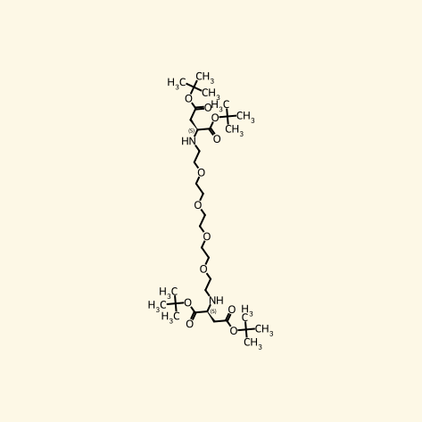 CC(C)(C)OC(=O)C[C@H](NCCOCCOCCOCCOCCN[C@@H](CC(=O)OC(C)(C)C)C(=O)OC(C)(C)C)C(=O)OC(C)(C)C